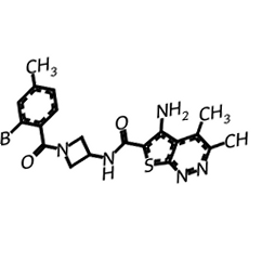 Bc1cc(C)ccc1C(=O)N1CC(NC(=O)c2sc3nnc(C)c(C)c3c2N)C1